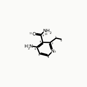 CCc1nccc(N)c1C(N)=O